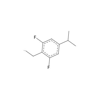 [CH2]Cc1c(F)cc(C(C)C)cc1F